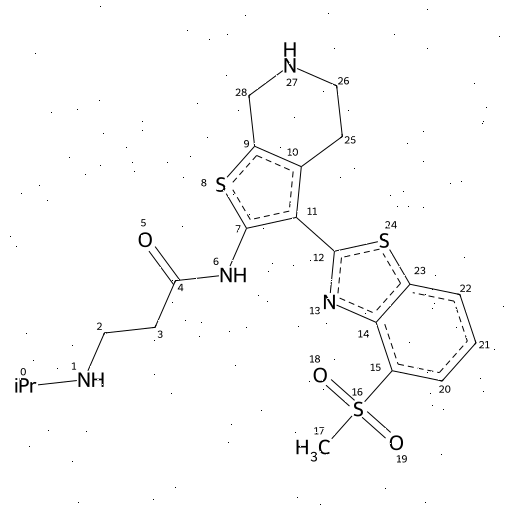 CC(C)NCCC(=O)Nc1sc2c(c1-c1nc3c(S(C)(=O)=O)cccc3s1)CCNC2